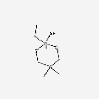 CC[PH]1(S)OCC(C)(C)CS1